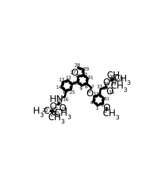 COc1ccc(OCc2cc(-c3cccc(CNC(=O)OC(C)(C)C)c3)c3occc3c2)c(CC(=O)OC(C)(C)C)c1